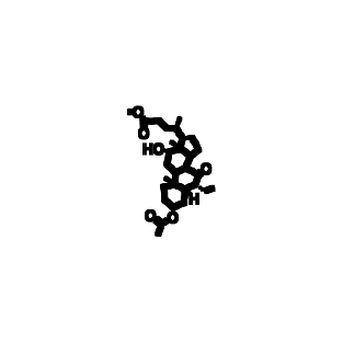 CC[C@H]1C(=O)C2C3CC[C@H]([C@H](C)CCC(=O)OC)[C@@]3(C)[C@@H](O)CC2[C@@]2(C)CC[C@@H](OC(C)=O)C[C@@H]12